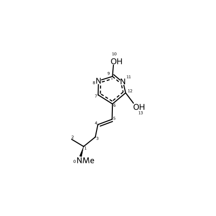 CN[C@@H](C)C/C=C/c1cnc(O)nc1O